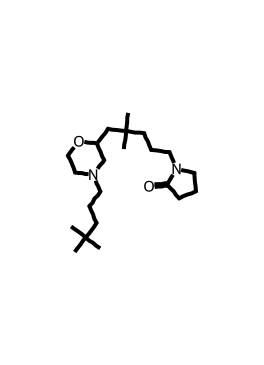 CC(C)(C)CCCN1CCOC(CC(C)(C)CCCN2CCCC2=O)C1